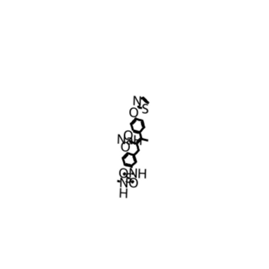 CNS(=O)(=O)Nc1cccc(Cc2c(C)c3ccc(Oc4nccs4)cc3oc2=O)c1.[NaH]